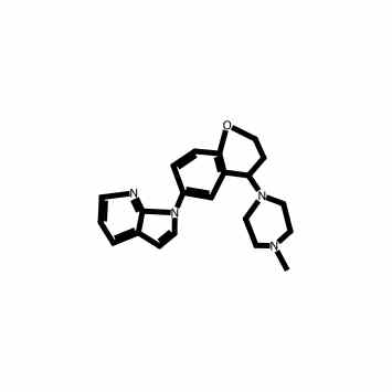 CN1CCN(C2CCOc3ccc(-n4ccc5cccnc54)cc32)CC1